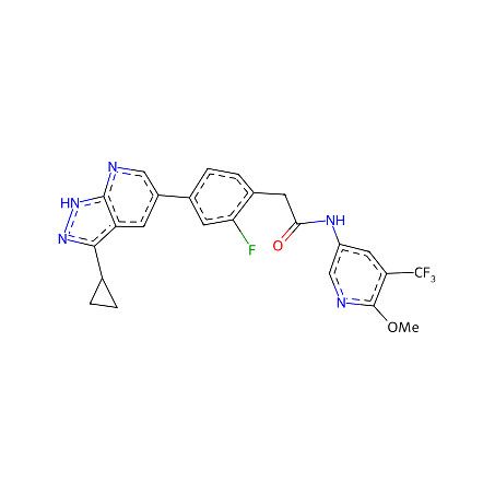 COc1ncc(NC(=O)Cc2ccc(-c3cnc4[nH]nc(C5CC5)c4c3)cc2F)cc1C(F)(F)F